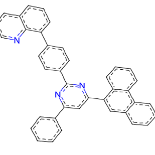 c1ccc(-c2cc(-c3cc4ccccc4c4ccccc34)nc(-c3ccc(-c4cccc5cccnc45)cc3)n2)cc1